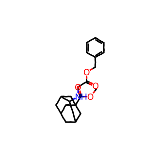 COC(=O)C12CC3CC(C1)C(NCC(=O)OCc1ccccc1)C(C3)C2